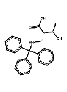 C[C@@H](O)[C@H](CNC(c1ccccc1)(c1ccccc1)c1ccccc1)C(=O)O